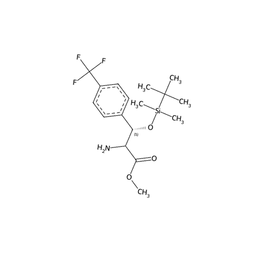 COC(=O)C(N)[C@@H](O[Si](C)(C)C(C)(C)C)c1ccc(C(F)(F)F)cc1